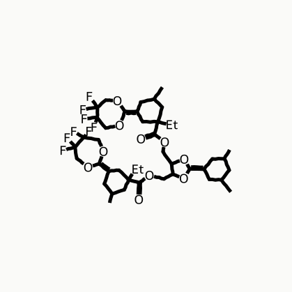 CCC1(C(=O)OCC2OC(=C3CC(C)CC(C)C3)OC2COC(=O)C2(CC)CC(=C3OCC(F)(F)C(F)(F)CO3)CC(C)C2)CC(=C2OCC(F)(F)C(F)(F)CO2)CC(C)C1